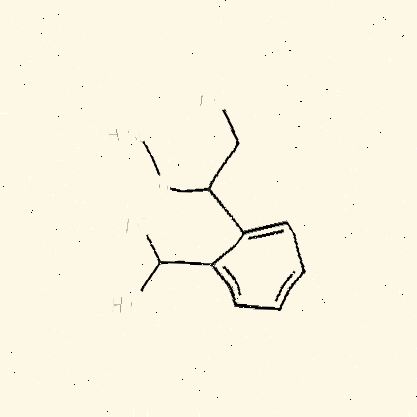 CCC(O[SiH3])c1ccccc1C(C)C